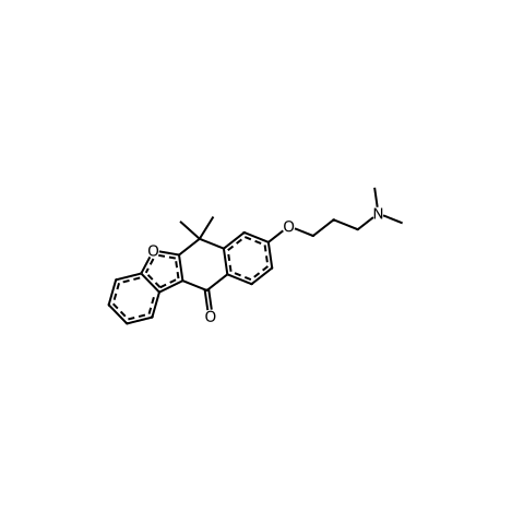 CN(C)CCCOc1ccc2c(c1)C(C)(C)c1oc3ccccc3c1C2=O